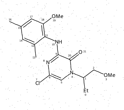 CCC(COC)n1cc(Cl)nc(Nc2c(C)cc(C)cc2OC)c1=O